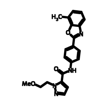 COCCn1nccc1C(=O)Nc1ccc(-c2nc3cccc(C)c3o2)cc1